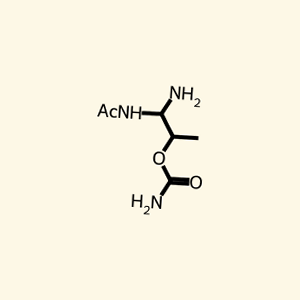 CC(=O)NC(N)C(C)OC(N)=O